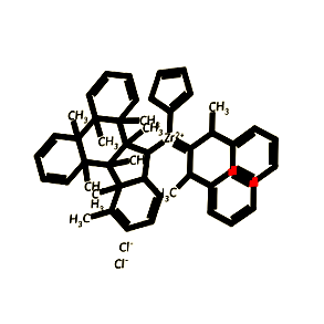 CC1=CC=CC2[CH]([Zr+2]([C]3=CC=CC3)=[C](C(C)c3ccccc3)C(C)c3ccccc3)C3(C)C4(C)C=CC=CC4(C)C4(C)C=CC=CC4(C)C3(C)C12C.[Cl-].[Cl-]